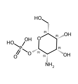 N[C@@H]1[C@H](OP(=O)(O)O)O[C@H](CO)[C@H](O)[C@@H]1O